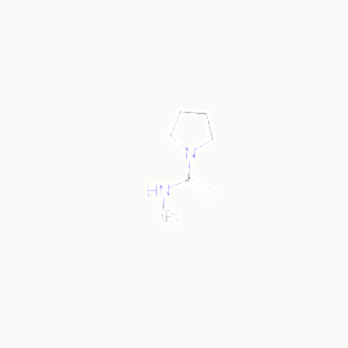 CC(C)NC(=O)N1CCCC1